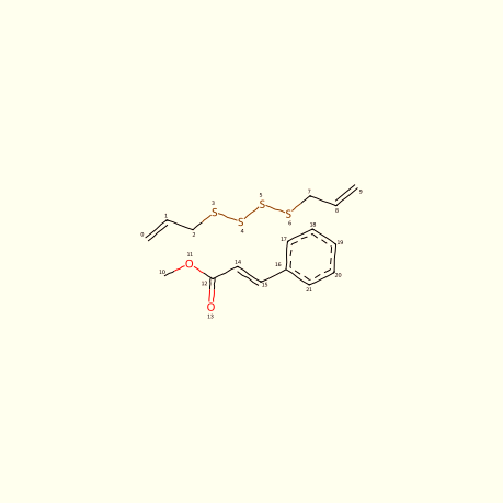 C=CCSSSSCC=C.COC(=O)C=Cc1ccccc1